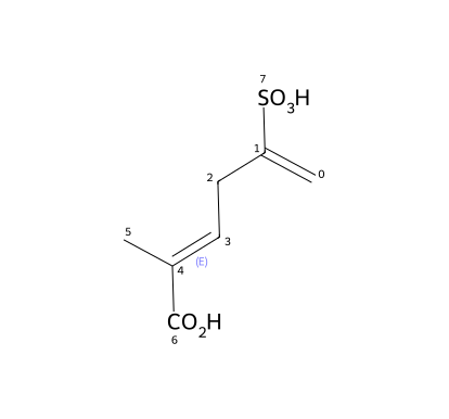 C=C(C/C=C(\C)C(=O)O)S(=O)(=O)O